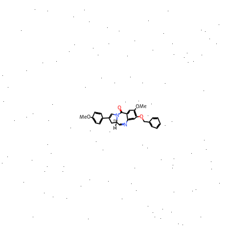 COc1ccc(C2=CN3C(=O)c4cc(OC)c(OCc5ccccc5)cc4N=C[C@@H]3C2)cc1